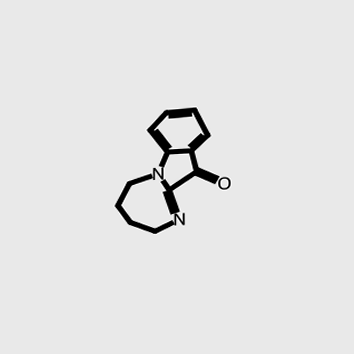 O=C1C2=NCCCCN2c2ccccc21